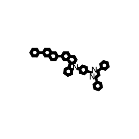 c1ccc(-c2ccc3cc(-c4ccc5ccc6c(c5c4)c4ccccc4n6-c4ccc(-c5nc(-c6ccccc6)cc(-c6ccccc6)n5)cc4)ccc3c2)cc1